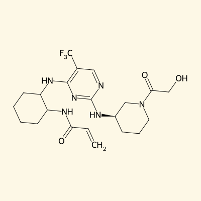 C=CC(=O)NC1CCCCC1Nc1nc(N[C@@H]2CCCN(C(=O)CO)C2)ncc1C(F)(F)F